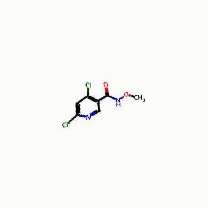 CONC(=O)c1cnc(Cl)cc1Cl